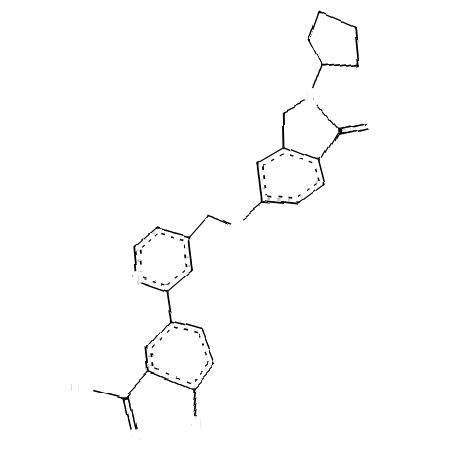 O=C(O)c1cc(-c2cc(COc3ccc4c(c3)CN(C3CCCC3)C4=O)ccn2)ccc1Cl